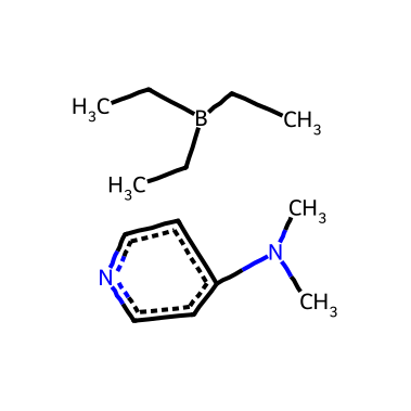 CCB(CC)CC.CN(C)c1ccncc1